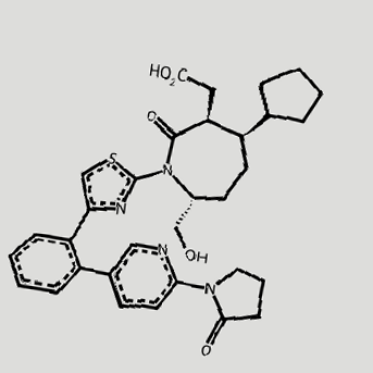 O=C(O)C[C@@H]1C(=O)N(c2nc(-c3ccccc3-c3ccc(N4CCCC4=O)nc3)cs2)[C@@H](CO)CC[C@@H]1C1CCCC1